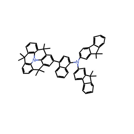 CC1(C)c2ccccc2-c2ccc(N(c3ccc4c(c3)C(C)(C)c3ccccc3-4)c3ccc(-c4cc5c6c(c4)C(C)(C)c4cccc7c4N6c4c(cccc4C5(C)C)C7(C)C)c4ccccc34)cc21